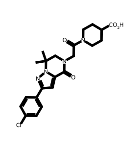 CC1(C)CN(CC(=O)N2CCC(C(=O)O)CC2)C(=O)c2cc(-c3ccc(Cl)cc3)nn21